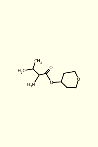 CC(C)C(N)C(=O)OC1CCOCC1